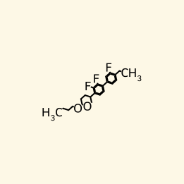 CCCCOC1CCC(c2ccc(-c3ccc(CC)c(F)c3)c(F)c2F)CO1